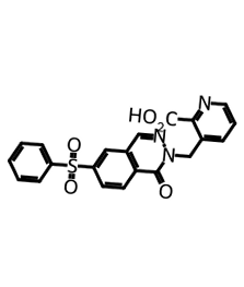 O=C(O)c1ncccc1Cn1ncc2cc(S(=O)(=O)c3ccccc3)ccc2c1=O